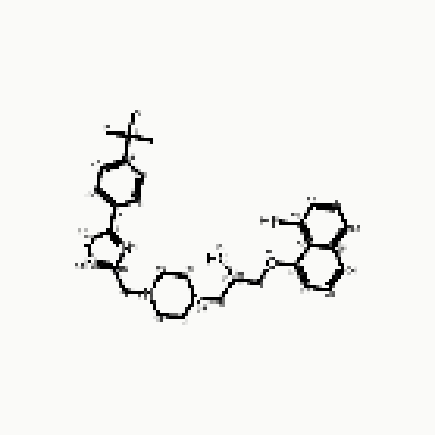 CC(C)(C)c1ccc(-c2nc(CN3CCN(C[C@@H](O)COc4cccc5cccc(F)c45)CC3)no2)cc1